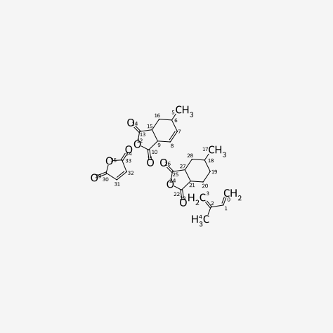 C=CC(=C)C.CC1C=CC2C(=O)OC(=O)C2C1.CC1CCC2C(=O)OC(=O)C2C1.O=C1C=CC(=O)O1